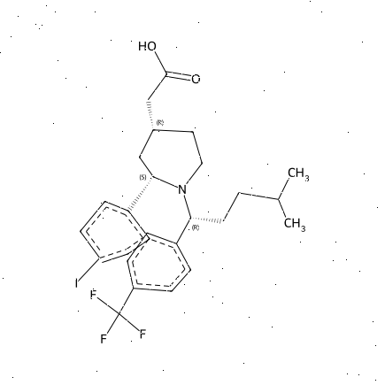 CC(C)CC[C@H](c1ccc(C(F)(F)F)cc1)N1CC[C@@H](CC(=O)O)C[C@H]1c1ccc(I)cc1